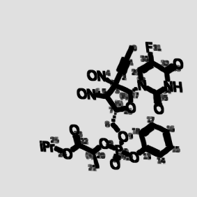 CC#C[C@@]1(N=O)C(N=O)[C@@H](CO[P@](=O)(Oc2ccccc2)O[C@@H](C)C(=O)OC(C)C)O[C@H]1n1cc(F)c(=O)[nH]c1=O